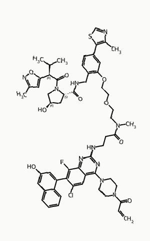 C=CC(=O)N1CCN(c2nc(NCCC(=O)N(C)CCOCCOc3cc(-c4scnc4C)ccc3CNC(=O)[C@@H]3C[C@@H](O)CN3C(=O)[C@@H](c3cc(C)no3)C(C)C)nc3c(F)c(-c4cc(O)cc5ccccc45)c(Cl)cc23)CC1